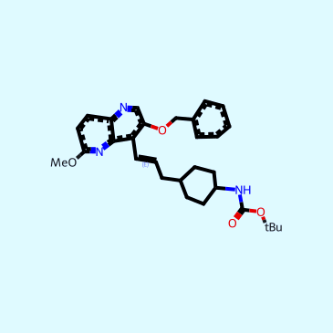 COc1ccc2ncc(OCc3ccccc3)c(/C=C/CC3CCC(NC(=O)OC(C)(C)C)CC3)c2n1